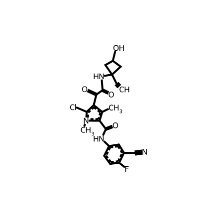 C#CC1(NC(=O)C(=O)c2c(C)c(C(=O)Nc3ccc(F)c(C#N)c3)n(C)c2Cl)CC(O)C1